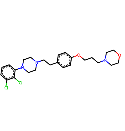 Clc1cccc(N2CCN(CCc3ccc(OCCCN4CCOCC4)cc3)CC2)c1Cl